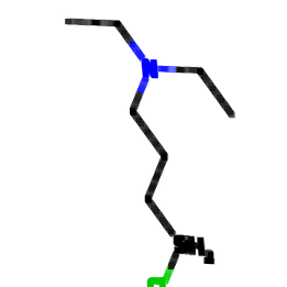 CCN(CC)CCC[SiH2]Cl